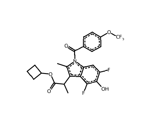 Cc1c(C(C)C(=O)OC2CCC2)c2c(F)c(O)c(F)cc2n1C(=O)c1ccc(OC(F)(F)F)cc1